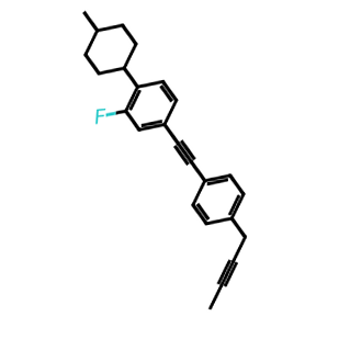 CC#CCc1ccc(C#Cc2ccc(C3CCC(C)CC3)c(F)c2)cc1